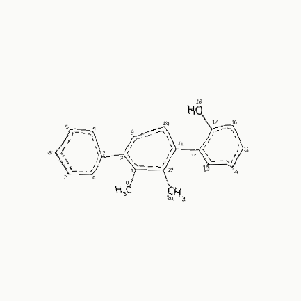 Cc1c(-c2ccccc2)ccc(-c2ccccc2O)c1C